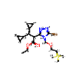 CCOC(=O)C(c1nnc(Br)n1COCCS(C)(C)C)C(C1CC1)C1CC1